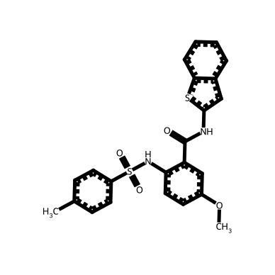 COc1ccc(NS(=O)(=O)c2ccc(C)cc2)c(C(=O)Nc2cc3ccccc3s2)c1